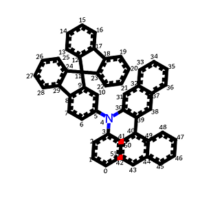 c1ccc(N(c2ccc3c(c2)C2(c4ccccc4-c4ccccc42)c2ccccc2-3)c2cc3ccccc3cc2-c2cccc3ccccc23)cc1